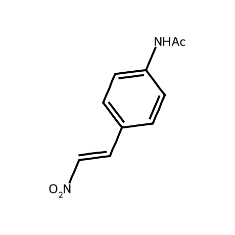 CC(=O)Nc1ccc(C=C[N+](=O)[O-])cc1